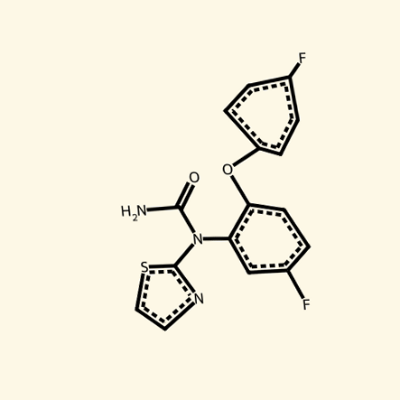 NC(=O)N(c1nccs1)c1cc(F)ccc1Oc1ccc(F)cc1